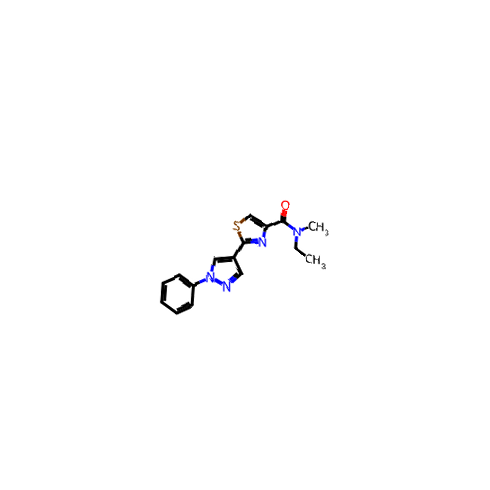 CCN(C)C(=O)c1csc(-c2cnn(-c3ccccc3)c2)n1